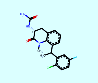 CC(c1cc(F)ccc1Cl)c1cccc2c1N(C)C(=O)[C@H](NC(N)=O)C2